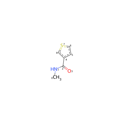 CNC(=O)c1ccsc1